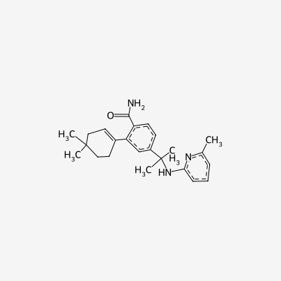 Cc1cccc(NC(C)(C)c2ccc(C(N)=O)c(C3=CCC(C)(C)CC3)c2)n1